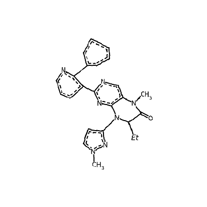 CCC1C(=O)N(C)c2cnc(-c3cccnc3-c3ccccc3)nc2N1c1ccn(C)n1